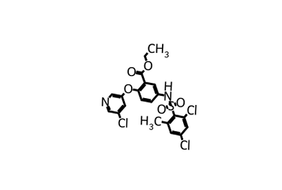 CCOC(=O)c1cc(NS(=O)(=O)c2c(C)cc(Cl)cc2Cl)ccc1Oc1cncc(Cl)c1